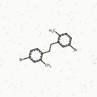 Cc1cc(Br)ccc1[CH]Cc1cc(Br)ccc1C